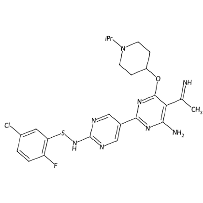 CC(=N)c1c(N)nc(-c2cnc(NSc3cc(Cl)ccc3F)nc2)nc1OC1CCN(C(C)C)CC1